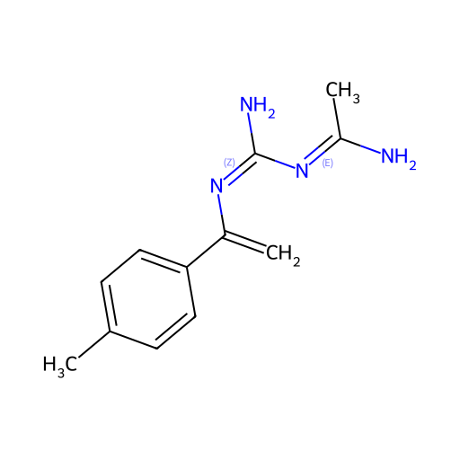 C=C(/N=C(N)\N=C(/C)N)c1ccc(C)cc1